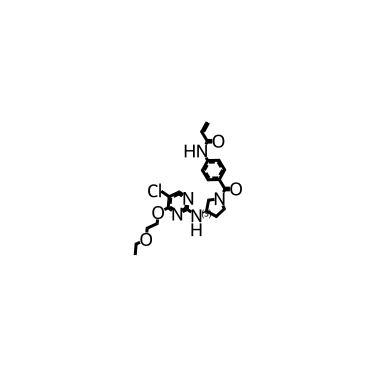 C=CC(=O)Nc1ccc(C(=O)N2CC[C@H](Nc3ncc(Cl)c(OCCOCC)n3)C2)cc1